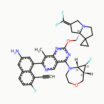 C#Cc1c(F)ccc2cc(N)cc(-c3ncc4c(N5CCOC[C@H]6[C@H](F)[C@H]65)nc(OC[C@]56CC(=C(F)F)CN5CCC65CC5)nc4c3C)c12